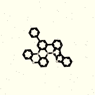 c1ccc(-c2cc3c4c(c2)N2c5ccccc5Oc5cccc(c52)B4n2c4oc5ccccc5c4c4cccc-3c42)cc1